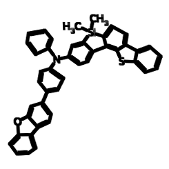 C[Si]1(C)c2cc(N(c3ccccc3)c3ccc(-c4ccc5c(c4)oc4ccccc45)cc3)ccc2-c2c1ccc1c2sc2ccccc21